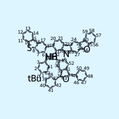 CC(C)(C)c1ccc(Nc2cc3sc4ccccc4c3cc2-c2ccc3c4cc5c(cc4n4c3c2Bc2cc3c(-c6ccccc6)oc(-c6ccccc6)c3cc2-4)oc2ccccc25)cc1